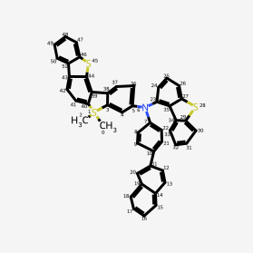 CS1(C)c2cc(N(c3ccc(-c4ccc5ccccc5c4)cc3)c3cccc4sc5ccccc5c34)ccc2-c2c1ccc1c2sc2ccccc21